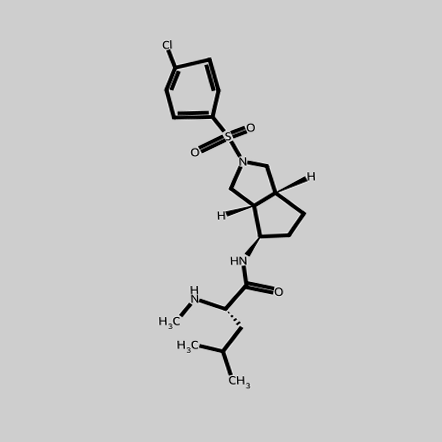 CN[C@@H](CC(C)C)C(=O)N[C@@H]1CC[C@H]2CN(S(=O)(=O)c3ccc(Cl)cc3)C[C@H]21